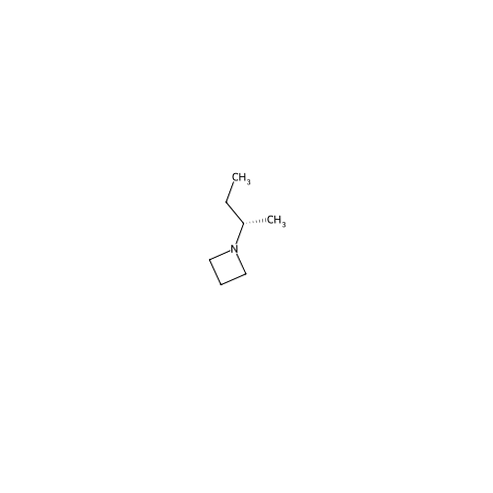 CC[C@H](C)N1CCC1